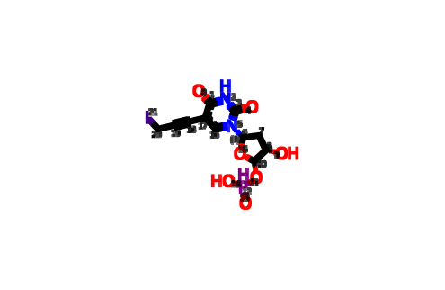 O=c1[nH]c(=O)n([C@H]2C[C@@H](O)[C@@H](O[PH](=O)O)O2)cc1C#CCI